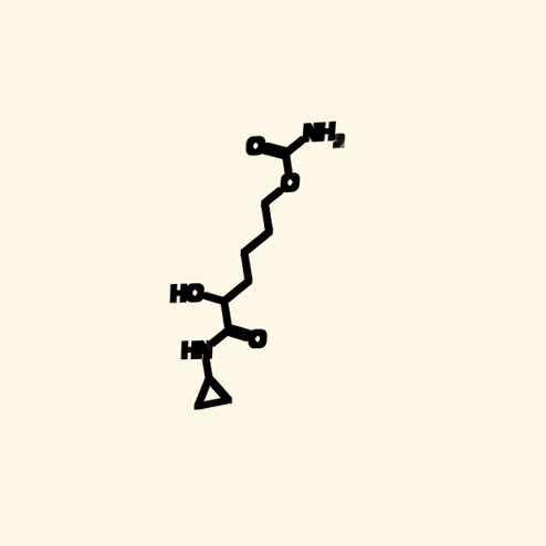 NC(=O)OCCCCC(O)C(=O)NC1CC1